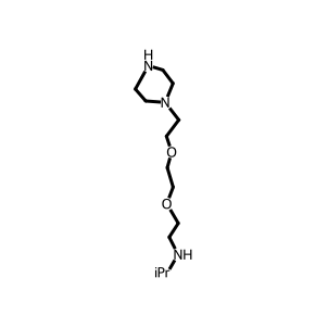 CC(C)NCCOCCOCCN1CCNCC1